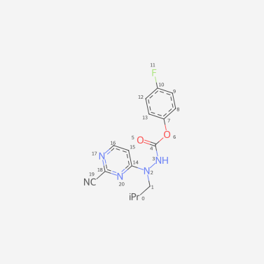 CC(C)CN(NC(=O)Oc1ccc(F)cc1)c1ccnc(C#N)n1